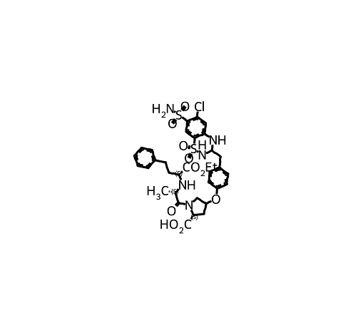 CCOC(=O)[C@H](CCc1ccccc1)N[C@@H](C)C(=O)N1CC(Oc2ccc(CC3Nc4cc(Cl)c(S(N)(=O)=O)cc4S(=O)(=O)N3)cc2)C[C@H]1C(=O)O